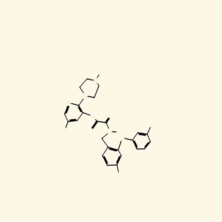 CN1CCN(c2ncc(Br)cc2NC(=O)C(=O)N(C)Cc2ccc(Br)cc2Oc2cccc(Cl)c2)CC1